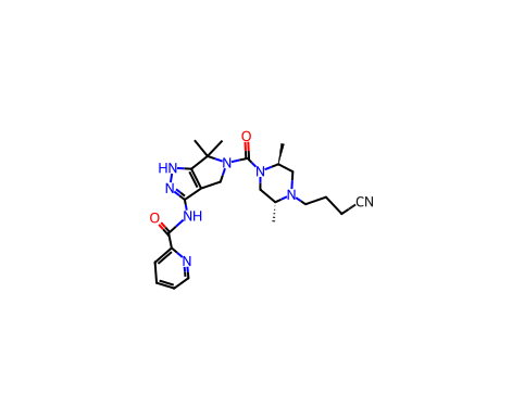 C[C@@H]1CN(C(=O)N2Cc3c(NC(=O)c4ccccn4)n[nH]c3C2(C)C)[C@@H](C)CN1CCCC#N